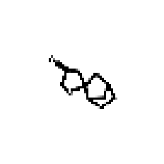 O=C1COC2(C1)CC1CCC2C1